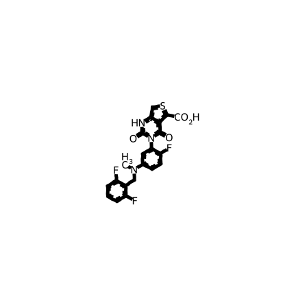 CN(Cc1c(F)cccc1F)c1ccc(F)c(-n2c(=O)[nH]c3csc(C(=O)O)c3c2=O)c1